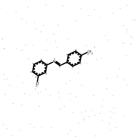 FC(F)(F)c1ccc(C=Nc2cccc(Cl)c2)cc1